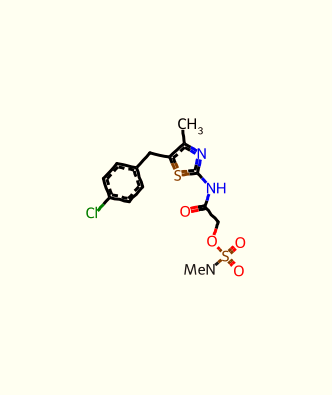 CNS(=O)(=O)OCC(=O)Nc1nc(C)c(Cc2ccc(Cl)cc2)s1